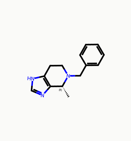 C[C@@H]1c2nc[nH]c2CCN1Cc1ccccc1